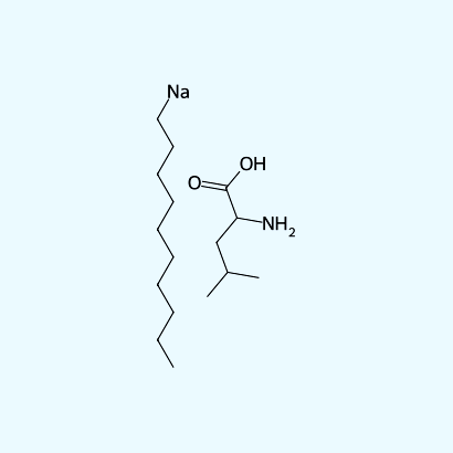 CC(C)CC(N)C(=O)O.CCCCCCCCC[CH2][Na]